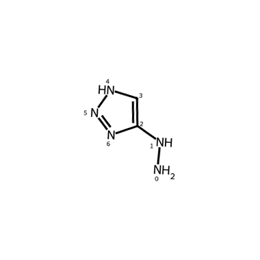 NNc1c[nH]nn1